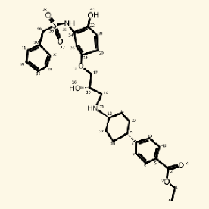 CCOC(=O)c1ccc([C@H]2CC[C@H](NC[C@H](O)COc3ccc(O)c(NS(=O)(=O)Cc4ccccc4)c3)CC2)cc1